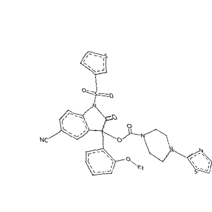 CCOc1ccccc1C1(OC(=O)N2CCN(c3nccs3)CC2)C(=O)N(S(=O)(=O)c2ccsc2)c2ccc(C#N)cc21